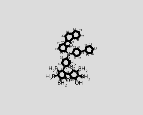 Bc1c(B)c(-c2ccc(N(c3ccc(-c4ccccc4)cc3)c3cccc4c3oc3c5ccccc5ccc43)cc2)c2c(oc3c(O)c(B)c(B)c(B)c32)c1B